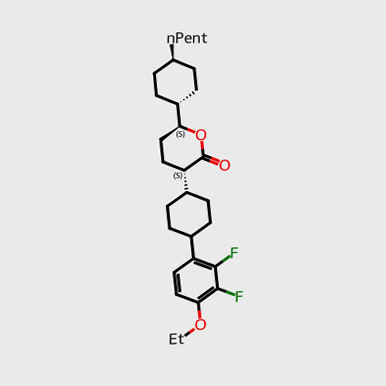 CCCCC[C@H]1CC[C@H]([C@@H]2CC[C@@H](C3CCC(c4ccc(OCC)c(F)c4F)CC3)C(=O)O2)CC1